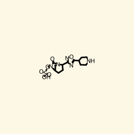 O=C1N2CC(CCC2c2noc(C3CCNCC3)n2)N1OS(=O)(=O)O